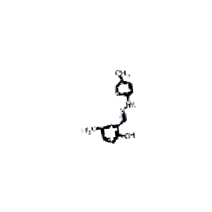 Cc1ccc(N/N=C/c2cc(C)ccc2O)nc1